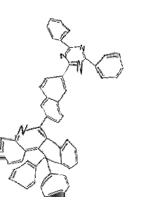 c1ccc(-c2nc(-c3ccccc3)nc(-c3ccc4cc(-c5nc6ccccc6c6c5-c5ccccc5C6(c5ccccc5)c5ccccc5)ccc4c3)n2)cc1